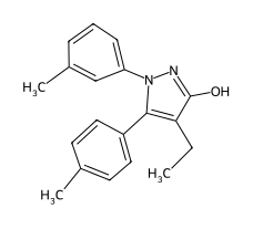 CCc1c(O)nn(-c2cccc(C)c2)c1-c1ccc(C)cc1